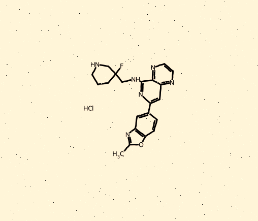 Cc1nc2cc(-c3cc4nccnc4c(NCC4(F)CCCNC4)n3)ccc2o1.Cl